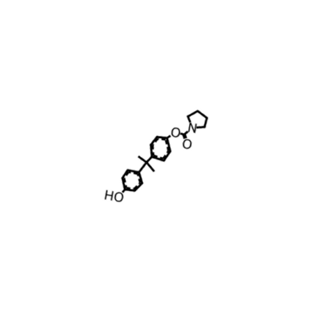 CC(C)(c1ccc(O)cc1)c1ccc(OC(=O)N2CCCC2)cc1